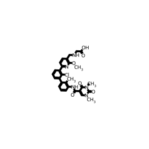 COc1nc(-c2cccc(-c3cccc(NC(=O)c4cn(C)c(=O)n(C)c4=O)c3C)c2Cl)ccc1CNCC(=O)O